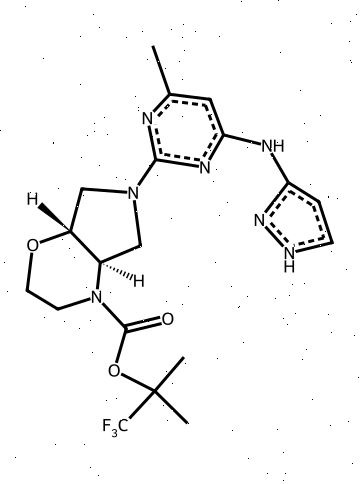 Cc1cc(Nc2cc[nH]n2)nc(N2C[C@@H]3[C@@H](C2)OCCN3C(=O)OC(C)(C)C(F)(F)F)n1